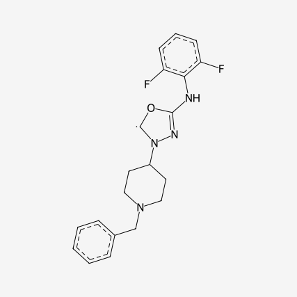 Fc1cccc(F)c1NC1=NN(C2CCN(Cc3ccccc3)CC2)[CH]O1